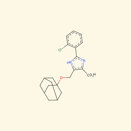 O=C(O)c1nc(-c2ccccc2Cl)[nH]c1COC12CC3CC(CC(C3)C1)C2